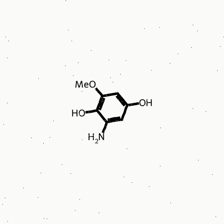 COc1cc(O)cc(N)c1O